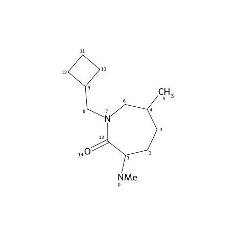 CNC1CCC(C)CN(CC2CCC2)C1=O